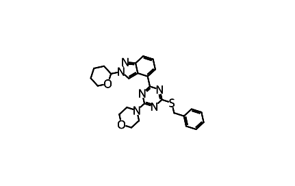 c1ccc(CSc2nc(-c3cccc4nn(C5CCCCO5)cc34)nc(N3CCOCC3)n2)cc1